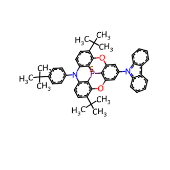 CC(C)(C)c1ccc(N2c3ccc(C(C)(C)C)c4c3P3(=S)c5c(cc(-n6c7ccccc7c7ccccc76)cc5Oc5c(C(C)(C)C)ccc2c53)O4)cc1